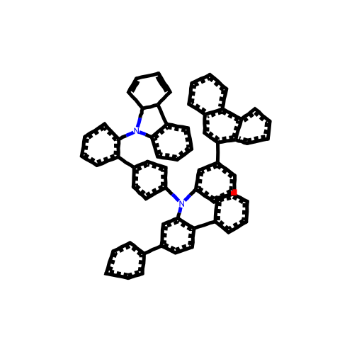 C1=CC2c3ccccc3N(c3ccccc3-c3ccc(N(c4cccc(-c5cc6ccccc6c6ccccc56)c4)c4cc(-c5ccccc5)ccc4-c4ccccc4)cc3)C2C=C1